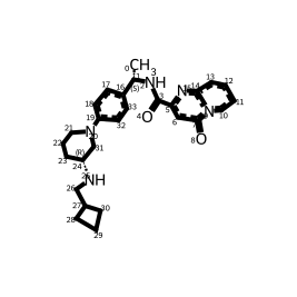 C[C@H](NC(=O)c1cc(=O)n2ccccc2n1)c1ccc(N2CCC[C@@H](NCC3CCC3)C2)cc1